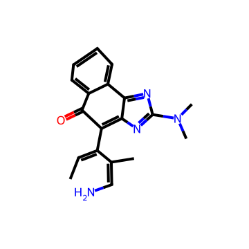 C/C=C(C1=C2N=C(N(C)C)N=C2c2ccccc2C1=O)\C(C)=C/N